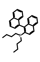 CCCCP(CCCC)c1ccc2ccccc2c1-c1cccc2ccccc12